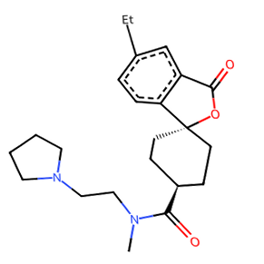 CCc1ccc2c(c1)C(=O)O[C@]21CC[C@H](C(=O)N(C)CCN2CCCC2)CC1